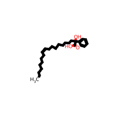 CCCCCCCC/C=C\CCCCCCCCC(O)(C(=O)O)c1ccccc1